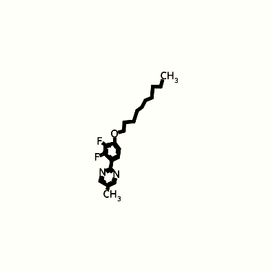 CCCCCCCCCCOc1ccc(-c2ncc(C)cn2)c(F)c1F